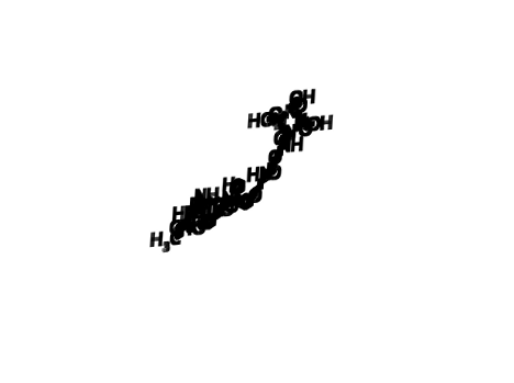 CCC(=O)NCCNC(=O)/N=C(/N)NCCC[C@@H](NC(=O)C(c1ccccc1)c1cccc(OCCCCNC(=O)CCOCCNC(=O)CN2CCN(CC(=O)O)CCN(CC(=O)O)CCN(CC(=O)O)CC2)c1)C(=O)NCc1ccc(O)cc1